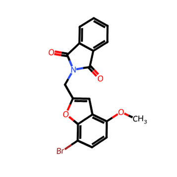 COc1ccc(Br)c2oc(CN3C(=O)c4ccccc4C3=O)cc12